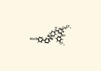 COc1ccc(-c2cccc(S(=O)(=O)N3CCC(Nc4nc(Nc5cccc(C(F)(F)F)c5)nc(OCC(F)(F)F)n4)CC3)c2)cc1